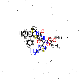 CCSC1(C(=O)O)CN2C(=O)C(NC(=O)C(=NOC(C)C(=O)OC(C)(C)C)c3nsc(N)n3)[C@H]2SC1C(c1ccccc1)c1ccccc1